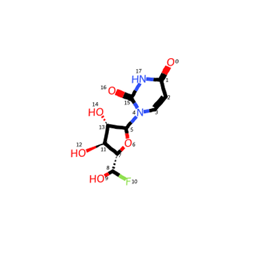 O=c1ccn(C2O[C@H](C(O)F)[C@@H](O)[C@@H]2O)c(=O)[nH]1